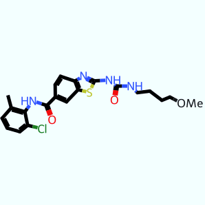 COCCCCNC(=O)Nc1nc2ccc(C(=O)Nc3c(C)cccc3Cl)cc2s1